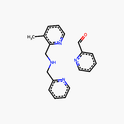 Cc1cccnc1CNCc1ccccn1.O=Cc1ccccn1